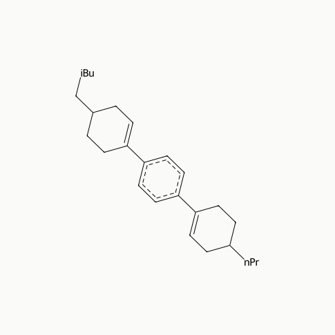 CCCC1CC=C(c2ccc(C3=CCC(CC(C)CC)CC3)cc2)CC1